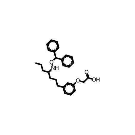 CCCC(CCCc1cccc(OCC(=O)O)c1)NOC(c1ccccc1)c1ccccc1